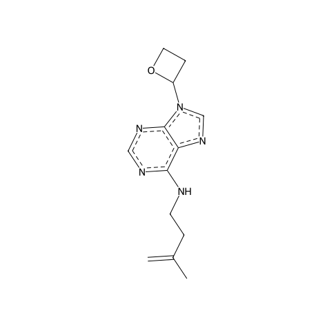 C=C(C)CCNc1ncnc2c1ncn2C1CCO1